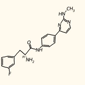 CNc1nccc(-c2ccc(NC(=O)[C@H](N)Cc3cccc(F)c3)cc2)n1